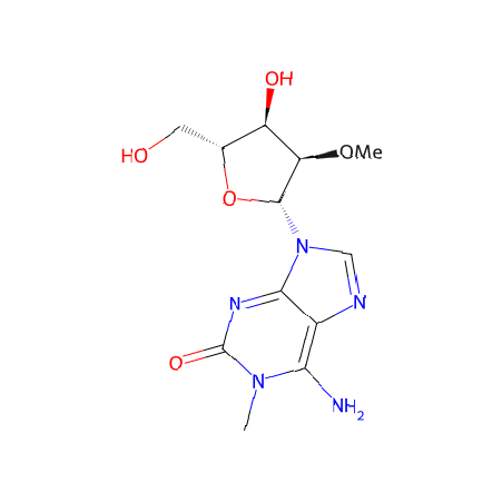 CO[C@@H]1[C@H](O)[C@@H](CO)O[C@H]1n1cnc2c(N)n(C)c(=O)nc21